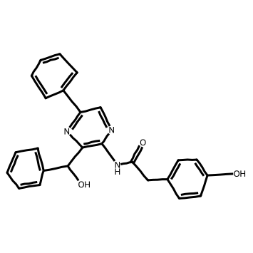 O=C(Cc1ccc(O)cc1)Nc1ncc(-c2ccccc2)nc1C(O)c1ccccc1